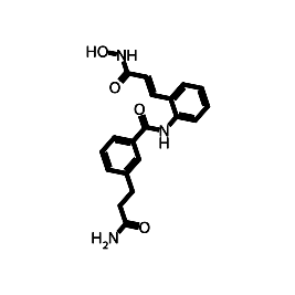 NC(=O)CCc1cccc(C(=O)Nc2ccccc2/C=C/C(=O)NO)c1